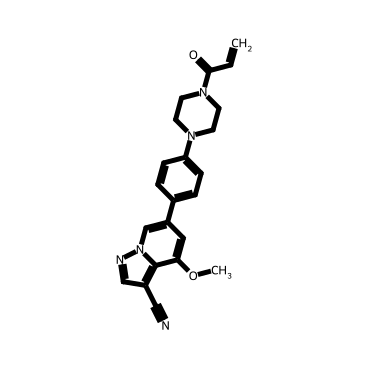 C=CC(=O)N1CCN(c2ccc(-c3cc(OC)c4c(C#N)cnn4c3)cc2)CC1